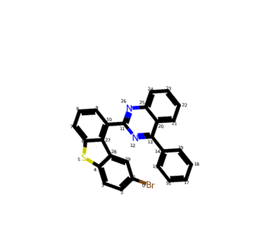 Brc1ccc2sc3cccc(-c4nc(-c5ccccc5)c5ccccc5n4)c3c2c1